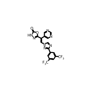 O=c1[nH]nc(C(=Cn2cnc(-c3cc(C(F)(F)F)cc(C(F)(F)F)c3)n2)c2cncnc2)o1